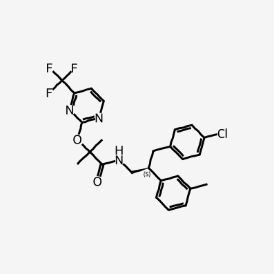 Cc1cccc([C@@H](CNC(=O)C(C)(C)Oc2nccc(C(F)(F)F)n2)Cc2ccc(Cl)cc2)c1